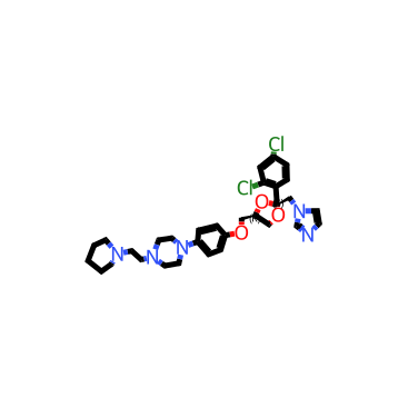 Clc1ccc([C@]2(Cn3ccnc3)OC[C@@H](COc3ccc(N4CCN(CCN5CCCCC5)CC4)cc3)O2)c(Cl)c1